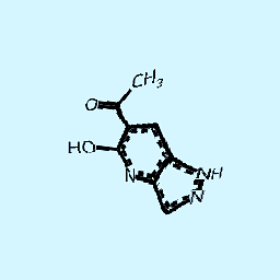 CC(=O)c1cc2[nH]ncc2nc1O